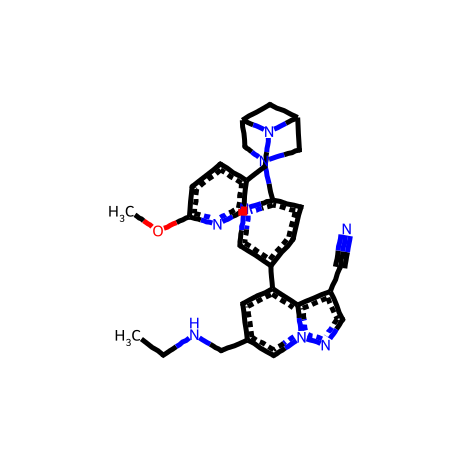 CCNCc1cc(-c2ccc(N3CC4CC(C3)N4Cc3ccc(OC)nc3)nc2)c2c(C#N)cnn2c1